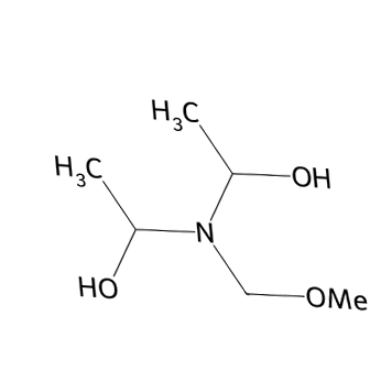 COCN(C(C)O)C(C)O